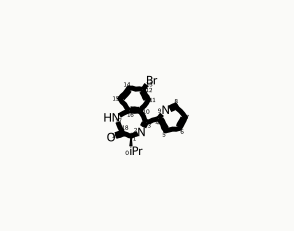 CC(C)[C@@H]1N=C(c2ccccn2)c2cc(Br)ccc2NC1=O